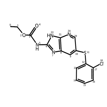 CCOC(=O)Nc1nc2cc(Sc3ccccc3Cl)cnc2[nH]1